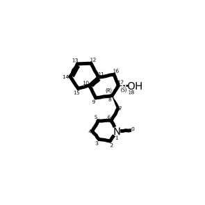 CN1CCCCC1C[C@H]1CC2=C(CC=CC2)C[C@@H]1O